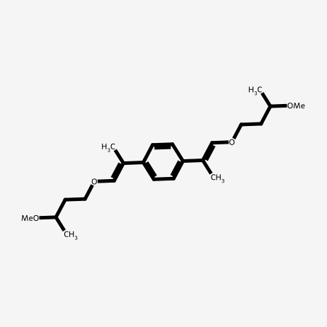 COC(C)CCOC=C(C)c1ccc(C(C)=COCCC(C)OC)cc1